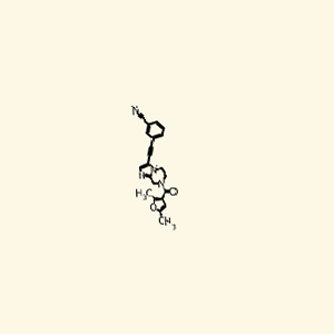 Cc1cc(C(=O)N2CCn3c(C#Cc4cccc(C#N)c4)cnc3C2)c(C)o1